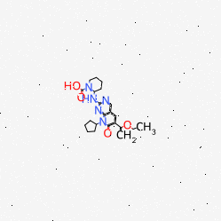 C=C(OCC)c1cc2cnc(NC3CCCCN3C(=O)O)nc2n(C2CCCC2)c1=O